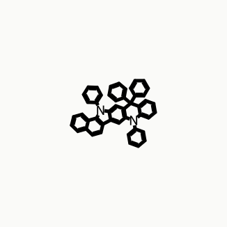 c1ccc(N2c3ccccc3C(c3ccccc3)(c3ccccc3)c3cc4c(cc32)c2ccc3ccccc3c2n4-c2ccccc2)cc1